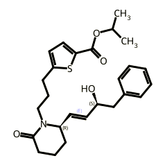 CC(C)OC(=O)c1ccc(CCCN2C(=O)CCC[C@@H]2/C=C/[C@@H](O)Cc2ccccc2)s1